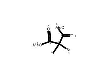 COC(=O)C(C)(Br)C(=O)OC